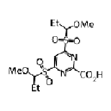 CCC(OC)S(=O)(=O)c1cc(S(=O)(=O)C(CC)OC)nc(C(=O)O)n1